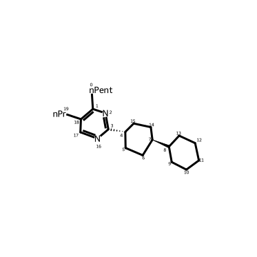 CCCCCc1nc([C@H]2CC[C@H](C3CCCCC3)CC2)ncc1CCC